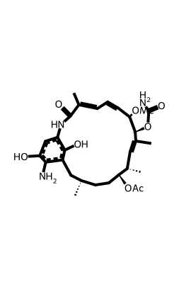 CO[C@H]1/C=C\C=C(/C)C(=O)Nc2cc(O)c(N)c(c2O)C[C@@H](C)CC[C@H](OC(C)=O)[C@@H](C)/C=C(\C)[C@@H]1OC(N)=O